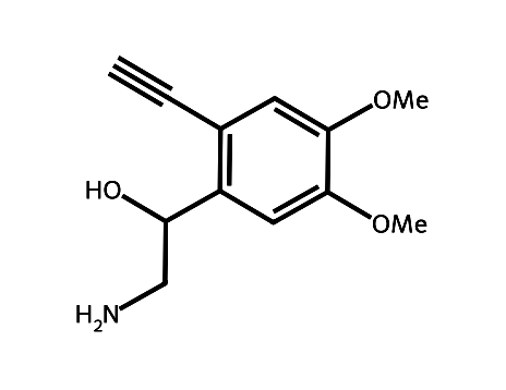 C#Cc1cc(OC)c(OC)cc1C(O)CN